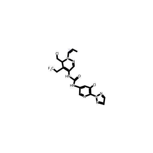 C/C=C\N1N=CC(NC(=O)Nc2cnc(-n3nccn3)c(Cl)c2)=C(CC(F)(F)F)C1CCl